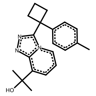 Cc1ccc(C2(c3nnc4c(C(C)(C)O)cccn34)CCC2)cc1